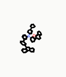 c1ccc(-c2ccc(N(c3cccc(-c4cccc(-c5cc6ccccc6c6ccccc56)c4)c3)c3cccc4c3oc3c5ccccc5ccc43)cc2)cc1